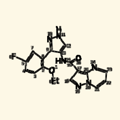 CCOc1ccc(F)cc1-c1n[nH]cc1NC(=O)c1cnn2cccnc12